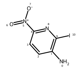 Nc1ccc([N+](=O)[O-])nc1I